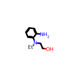 CCN(CCO)c1ccccc1N